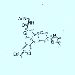 C=C(/C=C\C(Cl)=C/CC)C[C@H]1CO[C@@H](C(=O)NNC(C)=O)CN1C1CCC(c2ncc(C)o2)CC1